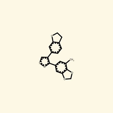 Cc1cc(-c2nscc2-c2ccc3c(c2)OCC3)cc2c1OCO2